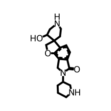 O=C1c2ccc3c(c2CN1C1CCCNC1)OCC31CCNCC1O